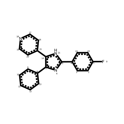 Fc1ccc(-c2nc(-c3ccccc3)c(-c3ccncc3)[nH]2)cc1